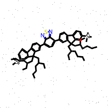 CCCCC(CC)CC1(CC(CC)CCCC)c2cc(-c3ccc(-c4ccc5c(c4)C(CC(CC)CCCC)(CC(CC)CCCC)c4cc([Si](C)(C)C)ccc4-5)c4nsnc34)ccc2-c2ccc([Si](C)(C)C)cc21